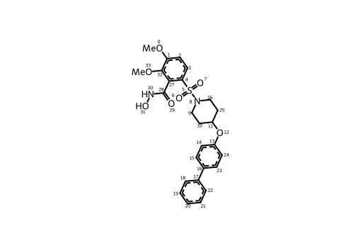 COc1ccc(S(=O)(=O)N2CCC(Oc3ccc(-c4ccccc4)cc3)CC2)c(C(=O)NO)c1OC